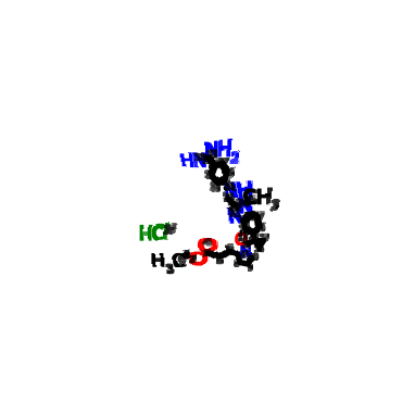 CCOC(=O)CCC1CCCN1C(=O)C1(c2ccc3c(c2)nc(CNc2ccc(C(=N)N)cc2)n3C)CC1.Cl